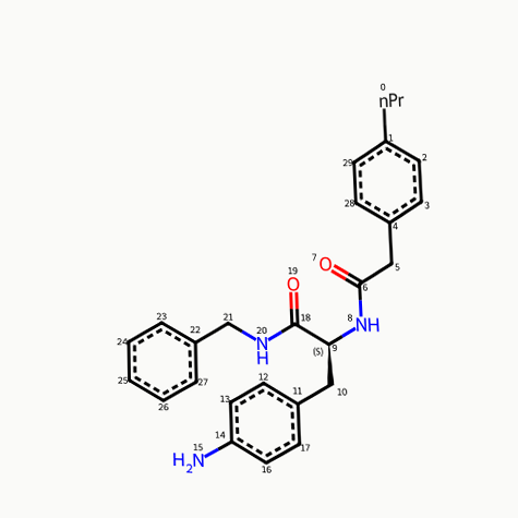 CCCc1ccc(CC(=O)N[C@@H](Cc2ccc(N)cc2)C(=O)NCc2ccccc2)cc1